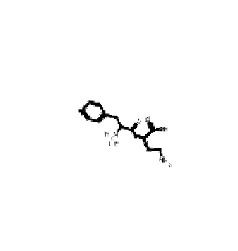 Cl.NCCC(CC(=O)C(N)Cc1ccccc1)C(=O)O